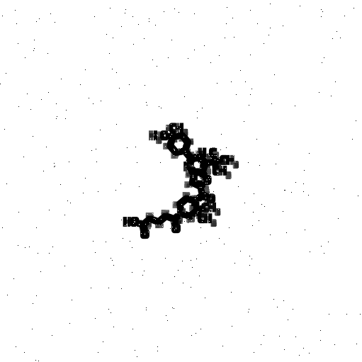 CC1(C)CCC(c2cc(C(C)(C)C)c3oc(C(=O)N4CCN(C(=O)CCCC(=O)O)CC4(C)C)cc3n2)CC1